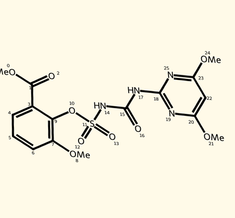 COC(=O)c1cccc(OC)c1OS(=O)(=O)NC(=O)Nc1nc(OC)cc(OC)n1